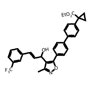 CCOC(=O)C1(c2ccc(-c3ccc(-c4onc(C)c4C(O)C=Cc4cccc(C(F)(F)F)c4)cc3)cc2)CC1